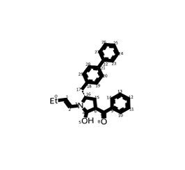 CC/C=C/N1C(O)C(C(=O)c2ccccc2)C[C@H]1Cc1ccc(-c2ccccc2)cc1